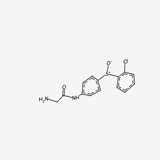 NCC(=O)Nc1ccc([S+]([O-])c2ccccc2Cl)cc1